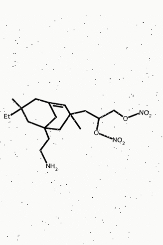 CCC1(C)CC2=CC(C)(CC(CO[N+](=O)[O-])O[N+](=O)[O-])CC(CCN)(C2)C1